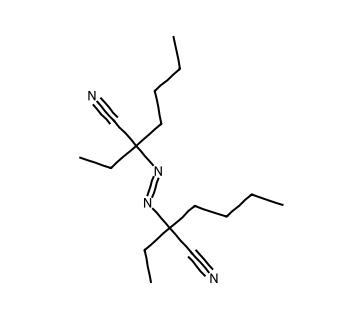 CCCCC(C#N)(CC)N=NC(C#N)(CC)CCCC